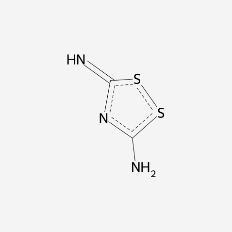 N=c1nc(N)ss1